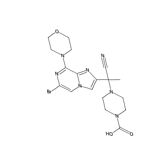 CC(C#N)(c1cn2cc(Br)nc(N3CCOCC3)c2n1)N1CCN(C(=O)O)CC1